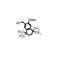 COc1cc2c(cc1CC(C)=O)C(C)(C)CCC2(C)C